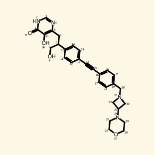 O=c1[nH]cnc(CC(CO)c2ccc(C#Cc3ccc(CN4CC(N5CCOCC5)C4)cc3)cc2)c1O